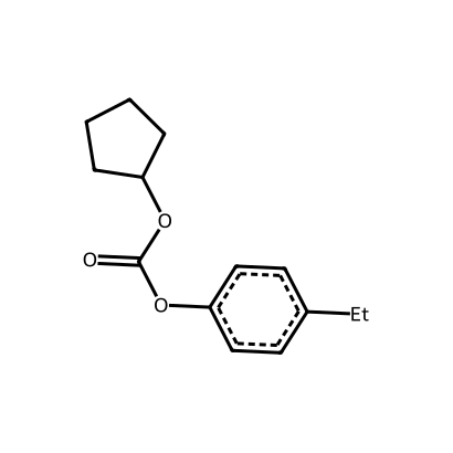 CCc1ccc(OC(=O)OC2CCCC2)cc1